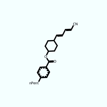 CCCCCc1ccc(C(=O)OC2CCC(C=CC=CC#N)CC2)cc1